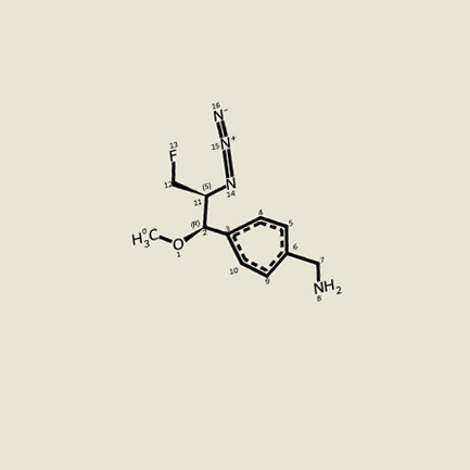 CO[C@H](c1ccc(CN)cc1)[C@@H](CF)N=[N+]=[N-]